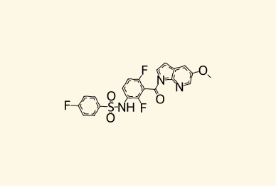 COc1cnc2c(ccn2C(=O)c2c(F)ccc(NS(=O)(=O)c3ccc(F)cc3)c2F)c1